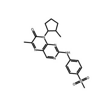 Cc1nc2cnc(Nc3ccc(S(C)(=O)=O)cc3)nc2n(C2CCCC2C)c1=O